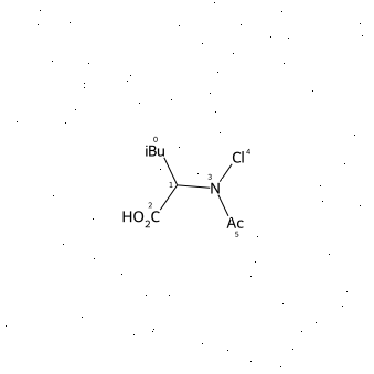 CCC(C)C(C(=O)O)N(Cl)C(C)=O